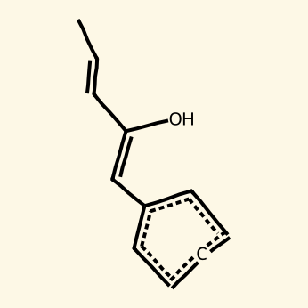 CC=CC(O)=Cc1ccccc1